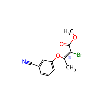 COC(=O)/C(Br)=C(/C)Oc1cccc(C#N)c1